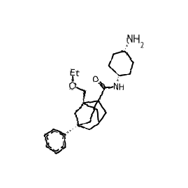 CCOC[C@]12CC3CC1(C(=O)N[C@H]1CC[C@@H](N)CC1)C[C@@](c1ccccc1)(C3)C2